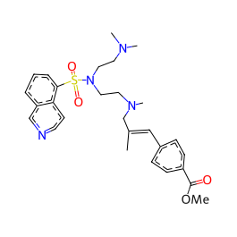 COC(=O)c1ccc(C=C(C)CN(C)CCN(CCN(C)C)S(=O)(=O)c2cccc3cnccc23)cc1